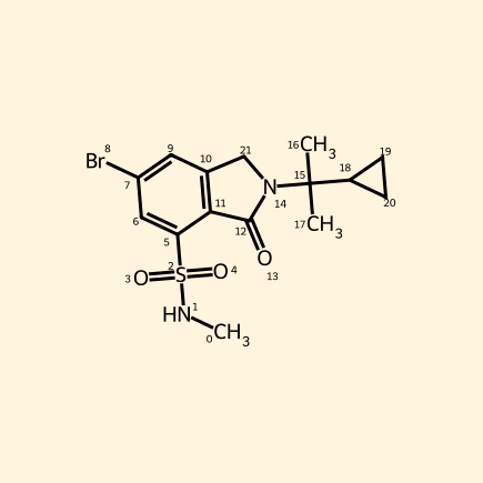 CNS(=O)(=O)c1cc(Br)cc2c1C(=O)N(C(C)(C)C1CC1)C2